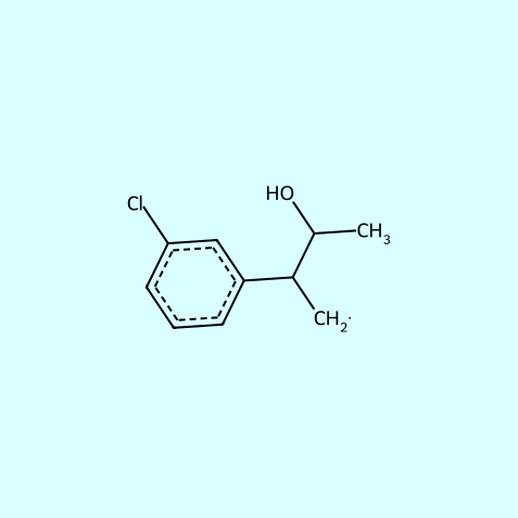 [CH2]C(c1cccc(Cl)c1)C(C)O